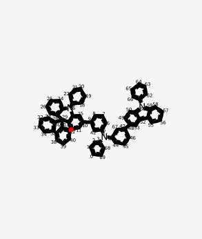 c1ccc(N(c2cccc(-c3ccc4c(c3)N(c3ccccc3)c3ccccc3C4(c3ccccc3)c3ccccc3)c2)c2cccc(-c3ccc4c(c3)c3ccccc3n4-c3ccccc3)c2)cc1